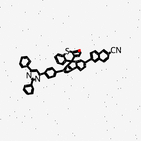 N#Cc1ccc2cc(-c3ccc4c(c3)C3(c5ccccc5Sc5ccccc53)c3cc(-c5ccc(-c6cc(-c7ccccc7)nc(-c7ccccc7)n6)cc5)ccc3-4)ccc2c1